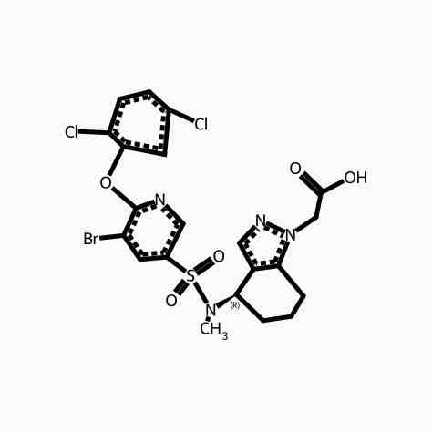 CN([C@@H]1CCCc2c1cnn2CC(=O)O)S(=O)(=O)c1cnc(Oc2cc(Cl)ccc2Cl)c(Br)c1